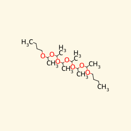 CCCCOC(C)OC(C)OC(C)OC(C)OC(C)OC(C)OCCCC